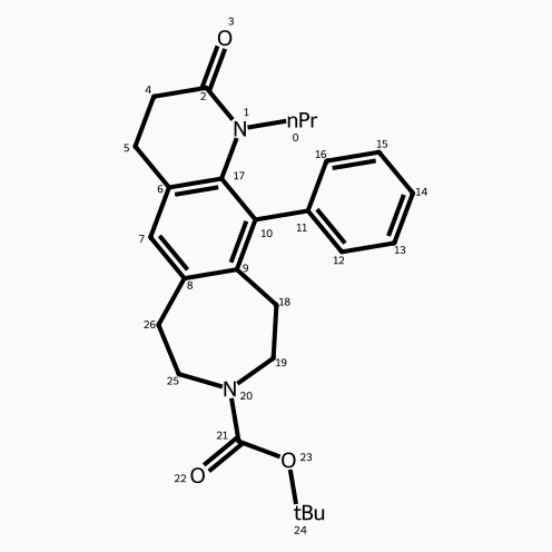 CCCN1C(=O)CCc2cc3c(c(-c4ccccc4)c21)CCN(C(=O)OC(C)(C)C)CC3